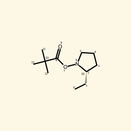 CC[C@H]1CCCN1OC(=O)C(C)(C)C